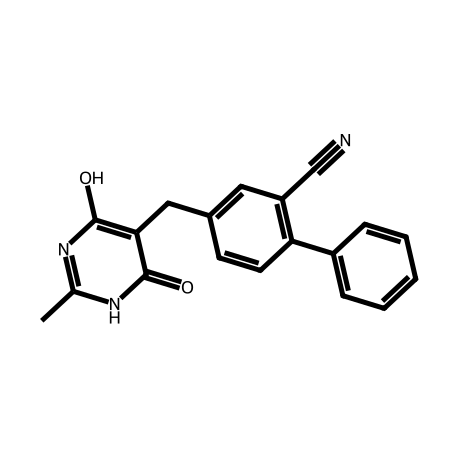 Cc1nc(O)c(Cc2ccc(-c3ccccc3)c(C#N)c2)c(=O)[nH]1